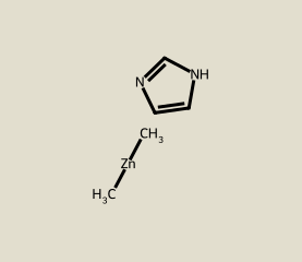 [CH3][Zn][CH3].c1c[nH]cn1